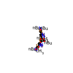 CCCCC(CC)C[Si]1(CC(CC)CCCC)c2cc(-c3ccc(-c4cc5sc(N(C)CCCC)cc5s4)c4nsnc34)sc2-c2sc(-c3ccc(-c4cc5sc(N(CCCC)CCCC)cc5s4)c4nsnc34)cc21